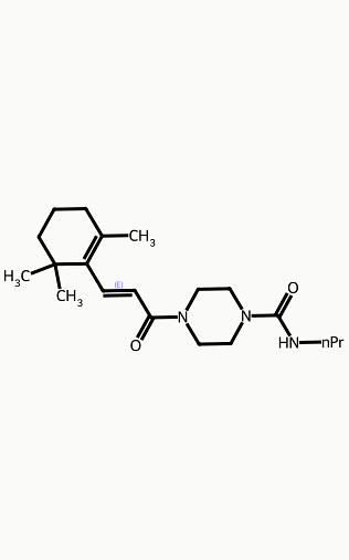 CCCNC(=O)N1CCN(C(=O)/C=C/C2=C(C)CCCC2(C)C)CC1